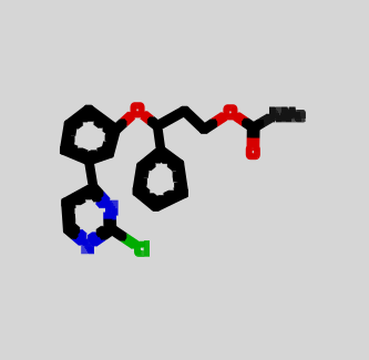 CNC(=O)OCCC(Oc1cccc(-c2ccnc(Cl)n2)c1)c1ccccc1